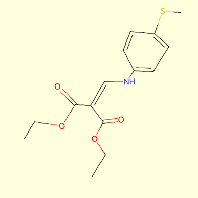 CCOC(=O)C(=CNc1ccc(SC)cc1)C(=O)OCC